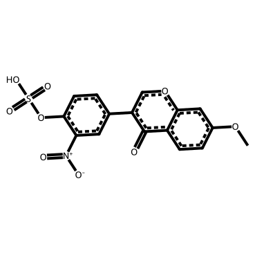 COc1ccc2c(=O)c(-c3ccc(OS(=O)(=O)O)c([N+](=O)[O-])c3)coc2c1